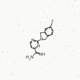 N=C(N)c1ccnc(N2Cc3ccc(F)cc3C2)n1